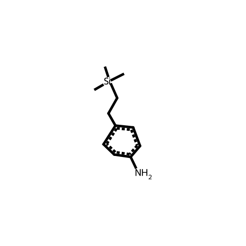 C[Si](C)(C)CCc1ccc(N)cc1